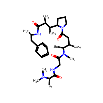 CCC(C)C(C(CC(=O)N1CCCC1C(OC)C(C)C(=O)N[C@H](C)Cc1ccccc1)OC)N(C)C(=O)CNC(=O)C(C(C)C)N(C)C